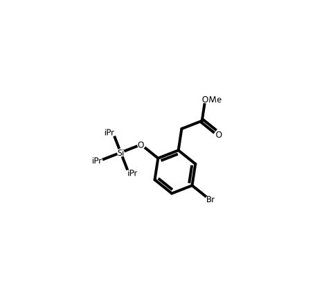 COC(=O)Cc1cc(Br)ccc1O[Si](C(C)C)(C(C)C)C(C)C